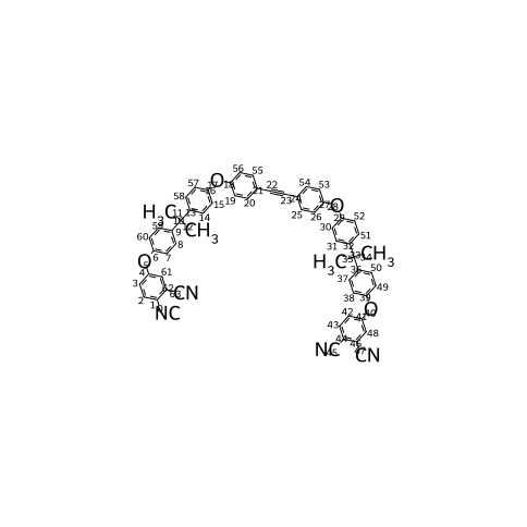 [C-]#[N+]c1ccc(Oc2ccc(C(C)(C)c3ccc(Oc4ccc(C#Cc5ccc(Oc6ccc(C(C)(C)c7ccc(Oc8ccc(C#N)c(C#N)c8)cc7)cc6)cc5)cc4)cc3)cc2)cc1C#N